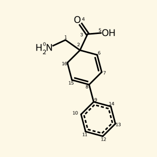 NCC1(C(=O)O)C=CC(c2ccccc2)=CC1